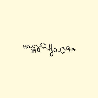 CCCOc1ccc(COC(=O)NCc2cccc([C@H](CC(=O)O)OC(C)C)c2)cc1